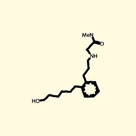 CNC(=O)CNCCCc1ccccc1CCCCCCO